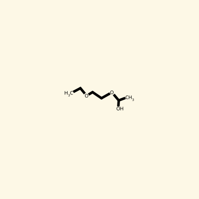 CCOCCOC(C)O